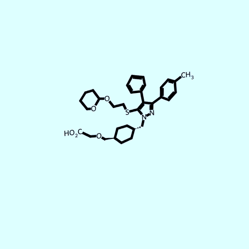 Cc1ccc(-c2nn(C[C@H]3CC[C@H](COCC(=O)O)CC3)c(SCCOC3CCCCO3)c2-c2ccccc2)cc1